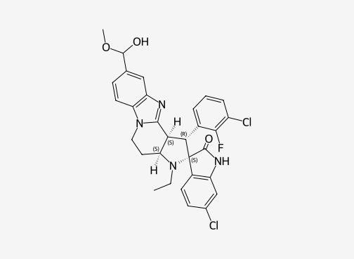 CCN1[C@H]2CCn3c(nc4cc(C(O)OC)ccc43)[C@H]2[C@H](c2cccc(Cl)c2F)[C@]12C(=O)Nc1cc(Cl)ccc12